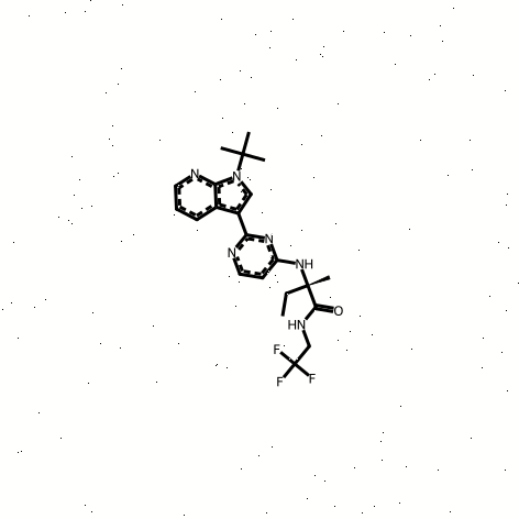 CC[C@](C)(Nc1ccnc(-c2cn(C(C)(C)C)c3ncccc23)n1)C(=O)NCC(F)(F)F